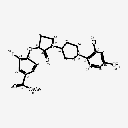 COC(=O)c1ccc(OC2CCN(C3CCN(c4ncc(C(F)(F)F)cc4Cl)CC3)C2=O)c(F)c1